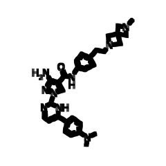 CN1CC2(C1)CN(CCc1ccc(NC(=O)c3cn(C4N=CC=C(c5ccc(N(C)C)cc5)N4)nc3N)cc1)C2